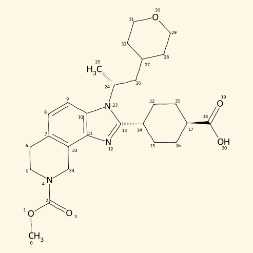 COC(=O)N1CCc2ccc3c(nc([C@H]4CC[C@H](C(=O)O)CC4)n3[C@H](C)CC3CCOCC3)c2C1